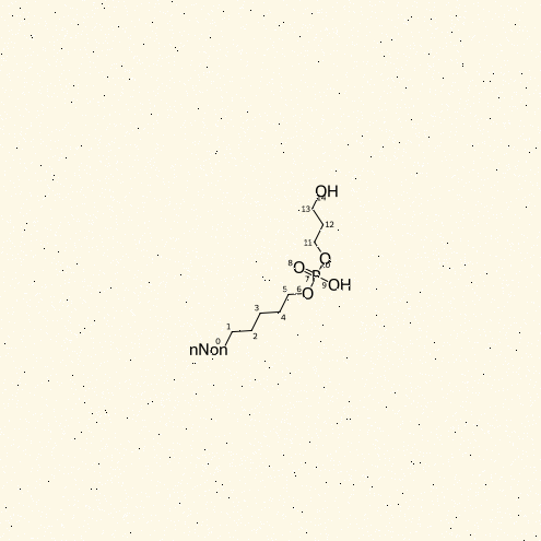 CCCCCCCCCCCCCCOP(=O)(O)OCCCO